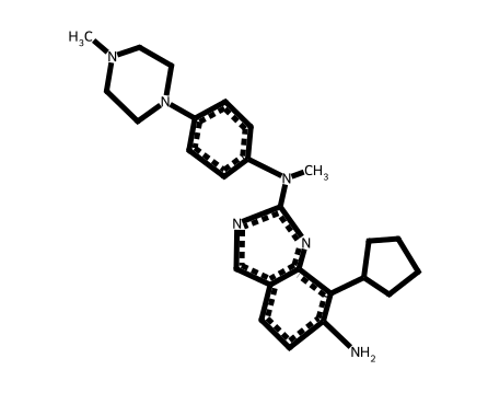 CN1CCN(c2ccc(N(C)c3ncc4ccc(N)c(C5CCCC5)c4n3)cc2)CC1